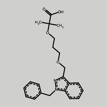 CC(C)(OCCCOCc1nn(Cc2ccccc2)c2ccccc12)C(=O)O